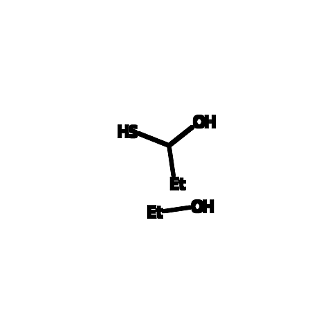 CCC(O)S.CCO